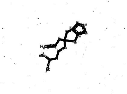 C=CCC1(CCCC(CC)CCCC)Cc2cscc2C1